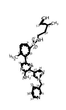 Cc1ccc(S(=O)(=O)NCCC(C)CO)cc1-c1cnc(N)c(-c2cnn(Cc3cccnc3)c2)n1